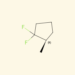 C[C@@H]1CCCC1(F)F